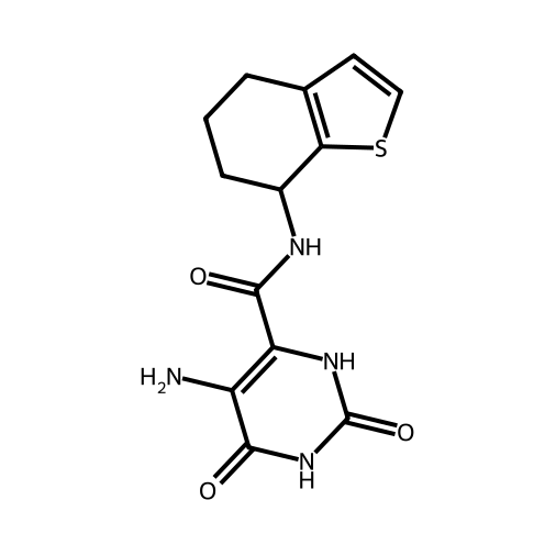 Nc1c(C(=O)NC2CCCc3ccsc32)[nH]c(=O)[nH]c1=O